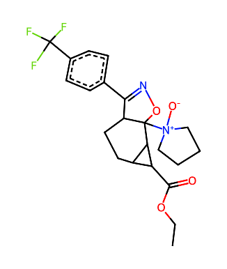 CCOC(=O)C1C2CCC3C(c4ccc(C(F)(F)F)cc4)=NOC3([N+]3([O-])CCCC3)C21